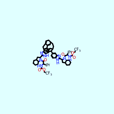 CC(C)C(NC(=O)OCC(F)(F)F)C(=O)N1C(c2nc3cc(C4=CC5CC=C4CCC4=CC(c6ccc7[nH]c(C8CC9CCCCC9N8C(=O)C(NC(=O)OCC(F)(F)F)C(C)C)nc7c6)C(C=C4)CC5)ccc3[nH]2)CC2CCCCC21